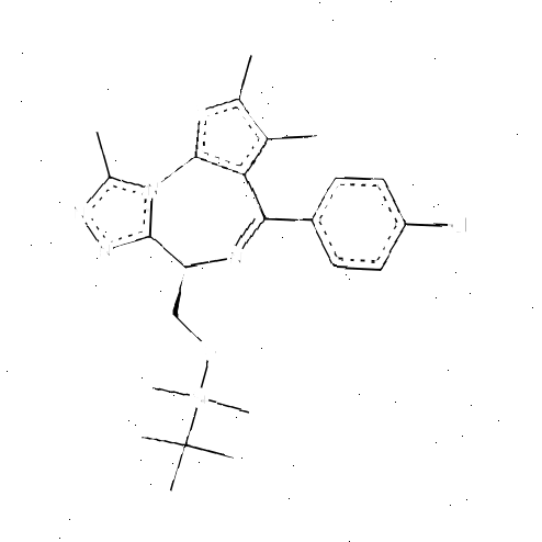 Cc1sc2c(c1C)C(c1ccc(Cl)cc1)=N[C@@H](CO[Si](C)(C)C(C)(C)C)c1nnc(C)n1-2